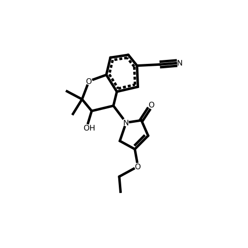 CCOC1=CC(=O)N(C2c3cc(C#N)ccc3OC(C)(C)C2O)C1